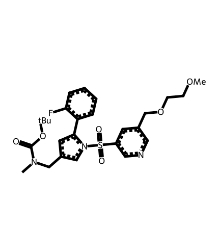 COCCOCc1cncc(S(=O)(=O)n2cc(CN(C)C(=O)OC(C)(C)C)cc2-c2ccccc2F)c1